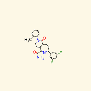 Cc1ccccc1N1CCC2=C(CCC(c3cc(F)cc(F)c3)N=C2C(N)=O)C1=O